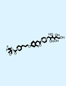 O=C(Cc1ccc(OCCCC2CCN(C(=O)OC3(C(F)(F)F)COC3)CC2)cc1F)N1CCN(CC(O)C(O)C(O)C(O)CO)CC1